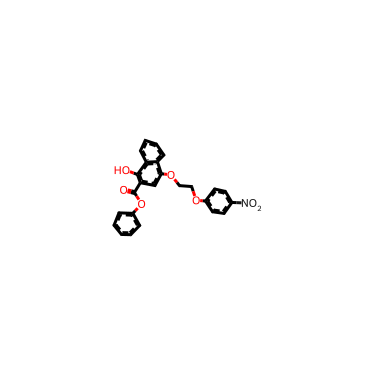 O=C(Oc1ccccc1)c1cc(OCCOc2ccc([N+](=O)[O-])cc2)c2ccccc2c1O